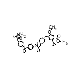 CCOc1cc(C(=O)OC)c(C2CC2)cc1CN1CCC2(CC1)CC(=O)N(c1ccc(C(=O)N3CCC(CS(N)(=O)=O)CC3)cc1)C2